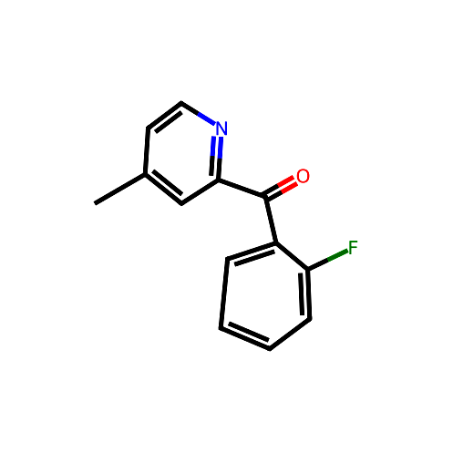 Cc1ccnc(C(=O)c2ccccc2F)c1